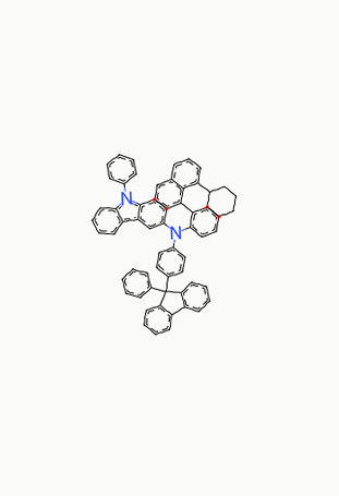 c1ccc(-n2c3ccccc3c3cc(N(c4ccc(C5(c6ccccc6)c6ccccc6-c6ccccc65)cc4)c4ccccc4-c4cccc5cccc(C6CCCCC6)c45)ccc32)cc1